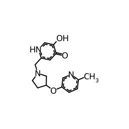 Cc1ccc(OC2CCN(Cc3cc(=O)c(O)c[nH]3)C2)cn1